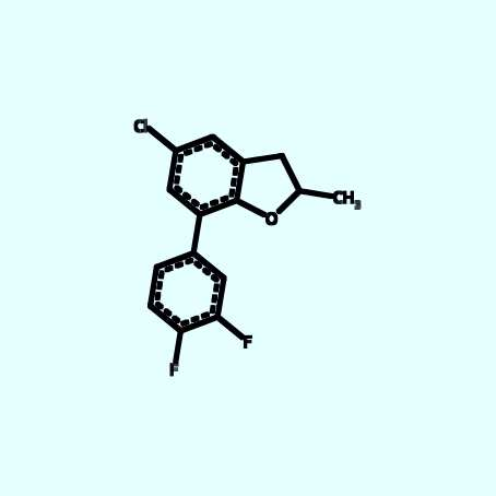 CC1Cc2cc(Cl)cc(-c3ccc(F)c(F)c3)c2O1